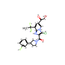 CC(F)(F)c1cc(C(=O)CBr)cn2c(Cl)c(C(=O)N3CCC(c4cccc(F)c4)C3)nc12